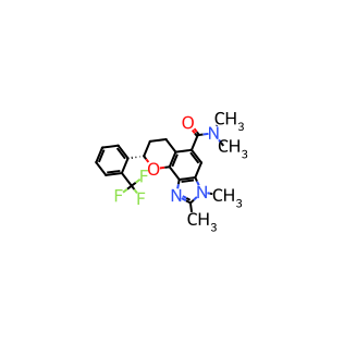 Cc1nc2c3c(c(C(=O)N(C)C)cc2n1C)CC[C@@H](c1ccccc1C(F)(F)F)O3